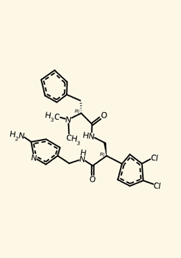 CN(C)[C@H](Cc1ccccc1)C(=O)NC[C@H](C(=O)NCc1ccc(N)nc1)c1ccc(Cl)c(Cl)c1